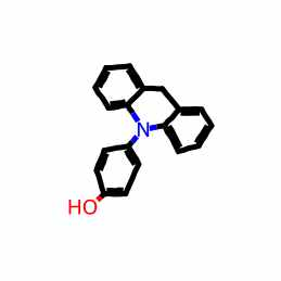 Oc1ccc(N2c3ccccc3Cc3ccccc32)cc1